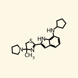 CC1(N2CCCC2)CSC(c2cc3cccc(NC4CCCC4)c3[nH]2)=N1